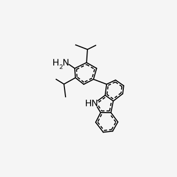 CC(C)c1cc(-c2cccc3c2[nH]c2ccccc23)cc(C(C)C)c1N